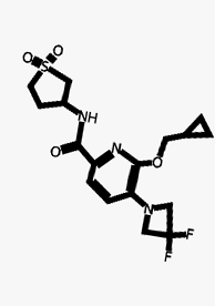 O=C(NC1CCS(=O)(=O)C1)c1ccc(N2CC(F)(F)C2)c(OCC2CC2)n1